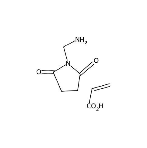 C=CC(=O)O.NCN1C(=O)CCC1=O